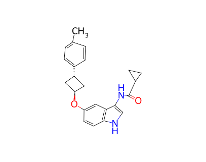 Cc1ccc([C@H]2C[C@H](Oc3ccc4[nH]cc(NC(=O)C5CC5)c4c3)C2)cc1